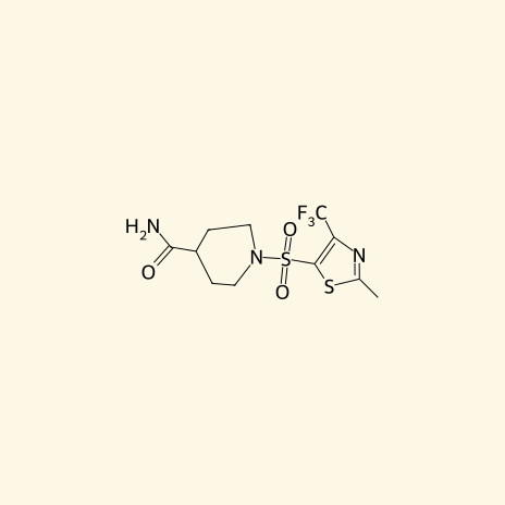 Cc1nc(C(F)(F)F)c(S(=O)(=O)N2CCC(C(N)=O)CC2)s1